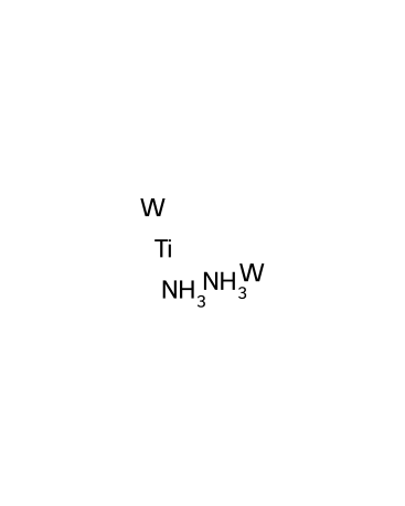 N.N.[Ti].[W].[W]